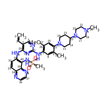 C=Cc1cnc(Nc2cc(C)c(N3CCC(N4CCN(C)CC4)CC3)cc2OC)nc1Nc1ccc2nccnc2c1NS(C)(=O)=O